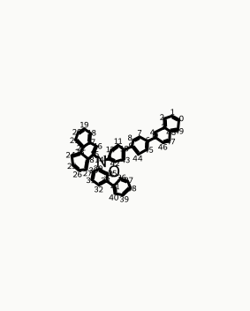 c1ccc2cc(-c3ccc(-c4ccc(N(c5cc6ccccc6c6ccccc56)c5cccc6c5oc5ccccc56)cc4)cc3)ccc2c1